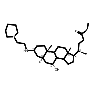 COC(=O)CC[C@@H](C)[C@H]1CCC2C3C(CC[C@@]21C)[C@@]1(C)CC[C@H](NCCN2CCCCC2)C[C@@H]1C[C@H]3O